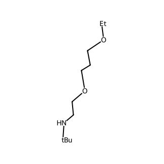 CCOCCCOCCNC(C)(C)C